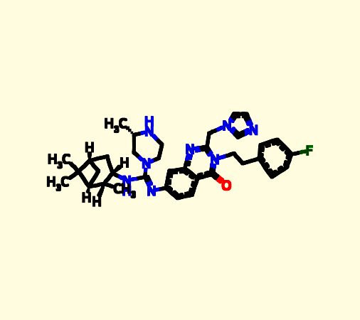 C[C@H]1[C@@H](NC(=Nc2ccc3c(=O)n(CCc4ccc(F)cc4)c(Cn4ccnc4)nc3c2)N2CCN[C@@H](C)C2)C[C@@H]2C[C@@H]1C2(C)C